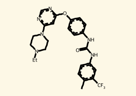 CCN1CCN(c2cc(Oc3ccc(NC(=O)Nc4ccc(C)c(C(F)(F)F)c4)cc3)ncn2)CC1